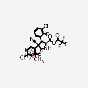 CC(C)(C)C[C@@H]1N[C@H](C(=O)OC(=O)C(F)(F)F)[C@H](c2cccc(Cl)c2F)[C@@]1(C#N)c1ccc(Cl)cc1F